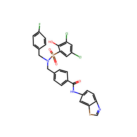 O=C(Nc1ccc2ncsc2c1)c1ccc(CN(Cc2ccc(F)cc2)S(=O)(=O)c2cc(Cl)cc(Cl)c2O)cc1